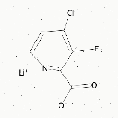 O=C([O-])c1nccc(Cl)c1F.[Li+]